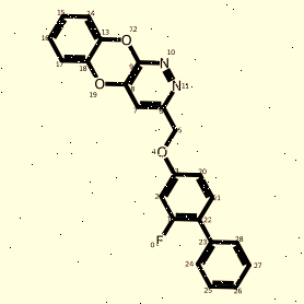 Fc1cc(OCc2cc3c(nn2)Oc2ccccc2O3)ccc1-c1ccccc1